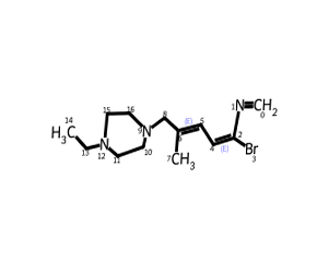 C=N/C(Br)=C\C=C(/C)CN1CCN(CC)CC1